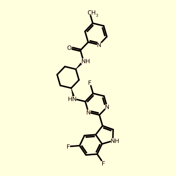 Cc1ccnc(C(=O)N[C@@H]2CCC[C@H](Nc3nc(-c4c[nH]c5c(F)cc(F)cc45)ncc3F)C2)c1